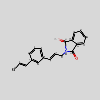 CCC=Cc1cccc(C=CCN2C(=O)c3ccccc3C2=O)c1